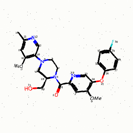 COc1cc(C(=O)N2CCN(c3cnc(C)cc3OC)C[C@@H]2CO)ncc1Oc1ccc(F)cc1